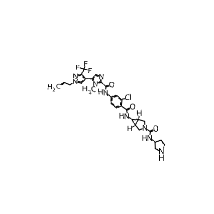 C=CCn1cc(-c2cnc(C(=O)Nc3ccc(C(=O)N[C@H]4[C@@H]5CN(C(=O)N[C@H]6CCNC6)C[C@@H]54)c(Cl)c3)n2C)c(C(F)(F)F)n1